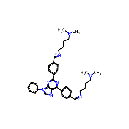 CN(C)CCCC/N=C\c1ccc(-c2nc(-c3ccc(/C=N/CCCCN(C)C)cc3)nc3c2ncn3-c2ccccc2)cc1